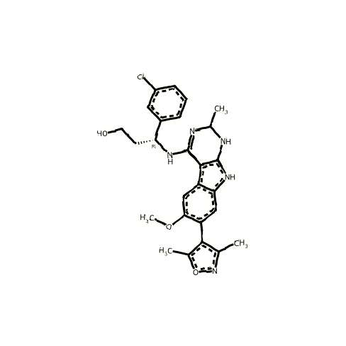 COc1cc2c3c([nH]c2cc1-c1c(C)noc1C)NC(C)N=C3N[C@H](CCO)c1cccc(Cl)c1